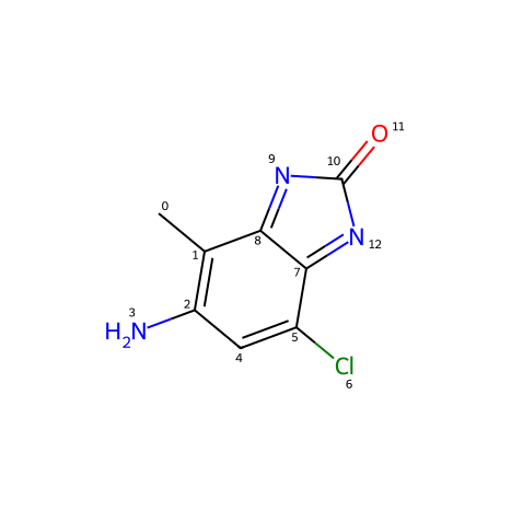 Cc1c(N)cc(Cl)c2c1=NC(=O)N=2